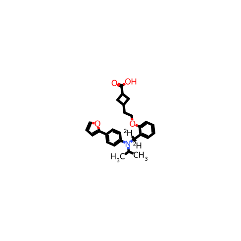 [2H]C([2H])(c1ccccc1OCCC1CC(C(=O)O)C1)N(c1ccc(-c2ccco2)cc1)C(C)C